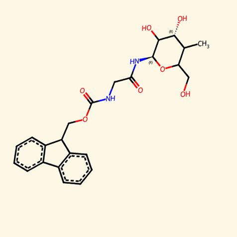 CC1C(CO)O[C@@H](NC(=O)CNC(=O)OCC2c3ccccc3-c3ccccc32)C(O)[C@@H]1O